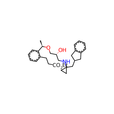 CCOC(=O)CCc1ccccc1[C@@H](C)OC[C@H](O)CNC1(CC2Cc3ccccc3C2)CC1